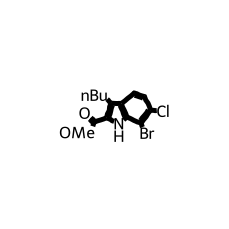 CCCCc1c(C(=O)OC)[nH]c2c(Br)c(Cl)ccc12